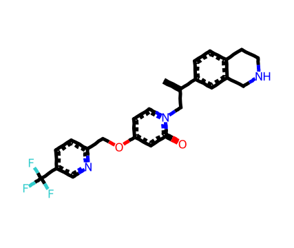 C=C(Cn1ccc(OCc2ccc(C(F)(F)F)cn2)cc1=O)c1ccc2c(c1)CNCC2